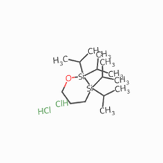 CC(C)[Si]1(C(C)C)CCCO[Si]1(C(C)C)C(C)C.Cl.Cl